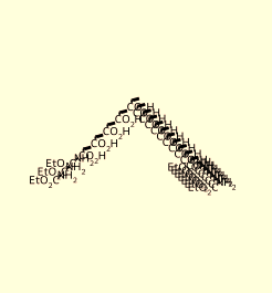 C=CC(=O)O.C=CC(=O)O.C=CC(=O)O.C=CC(=O)O.C=CC(=O)O.C=CC(=O)O.C=CC(=O)O.C=CC(=O)O.C=CC(=O)O.C=CC(=O)O.C=CC(=O)O.C=CC(=O)O.C=CC(=O)O.C=CC(=O)O.C=CC(=O)O.CCOC(N)=O.CCOC(N)=O.CCOC(N)=O.CCOC(N)=O.CCOC(N)=O.CCOC(N)=O.CCOC(N)=O.CCOC(N)=O.CCOC(N)=O.CCOC(N)=O